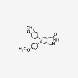 COc1ccc(-c2cc3c(cc2-c2ccc(OC)cc2)CC(=O)NN=C3)cc1